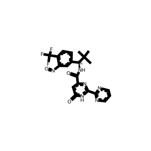 CC(C)(C)[C@@H](NC(=O)c1cc(=O)[nH]c(-c2ncccn2)n1)c1ccc(C(F)(F)F)c(N=O)c1